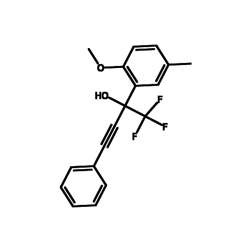 COc1ccc(C)cc1C(O)(C#Cc1ccccc1)C(F)(F)F